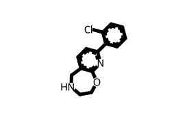 Clc1ccccc1-c1ccc2c(n1)OCCNC2